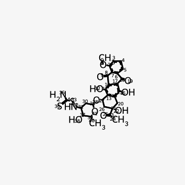 COc1cccc2c1C(=O)c1c(O)c3c(c(O)c1C2=O)C[C@@](O)(C(C)=O)C[C@@H]3OC1CC(NSC(N)=S)C(O)C(C)O1